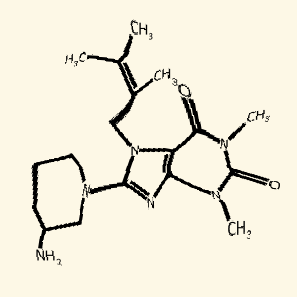 CC(C)=C(C)Cn1c(N2CCCC(N)C2)nc2c1c(=O)n(C)c(=O)n2C